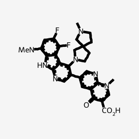 CNc1cc(F)c(F)c2c1[nH]c1ncc(-c3cnc4c(c3)c(=O)c(C(=O)O)cn4C)c(N3CCC4(CCN(C)C4)C3)c12